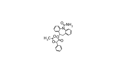 CC(=O)O[C@@H](C(=O)O[C@@H]1Cc2ccccc2N(C(N)=O)c2ccccc21)c1ccccc1